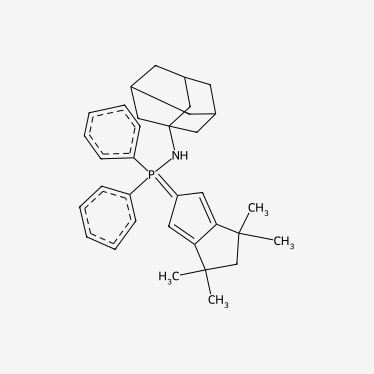 CC1(C)CC(C)(C)C2=CC(=P(NC34CC5CC(CC(C5)C3)C4)(c3ccccc3)c3ccccc3)C=C21